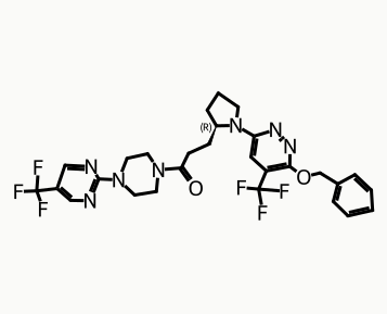 O=C(CC[C@H]1CCCN1c1cc(C(F)(F)F)c(OCc2ccccc2)nn1)N1CCN(c2ncc(C(F)(F)F)cn2)CC1